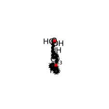 O=P(O)(O)CCCNCc1ccc(SCCCCC2(c3ccccc3F)CCCCC2)c(C(F)(F)F)c1